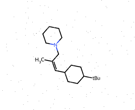 CC(=CC1CCC(C(C)(C)C)CC1)CN1CCCCC1